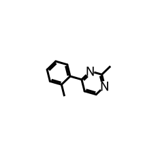 Cc1nccc(-c2ccccc2C)n1